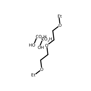 CCOCCOCCOCC.O=C(O)O.O=C(O)O